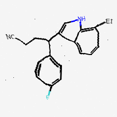 CCc1cccc2c(C(CCC#N)c3ccc(F)cc3)c[nH]c12